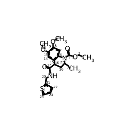 CCOC(=O)N1c2cc(OC)c(OC)cc2C(C(=O)NCc2cccs2)CC1C